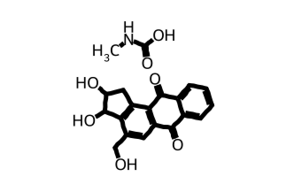 CNC(=O)O.O=C1c2ccccc2C(=O)c2c1cc(CO)c1c2CC(O)C1O